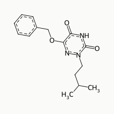 CC(C)CCn1nc(OCc2ccccc2)c(=O)[nH]c1=O